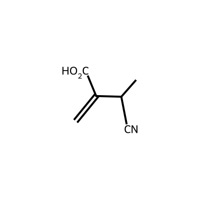 C=C(C(=O)O)C(C)C#N